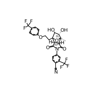 C[C@]12OC(CCOc3ccc(C(F)(F)F)cc3)(C(O)[C@@H]1O)[C@H]1C(=O)N(c3ccc(C#N)c(C(F)(F)F)c3)C(=O)[C@H]12